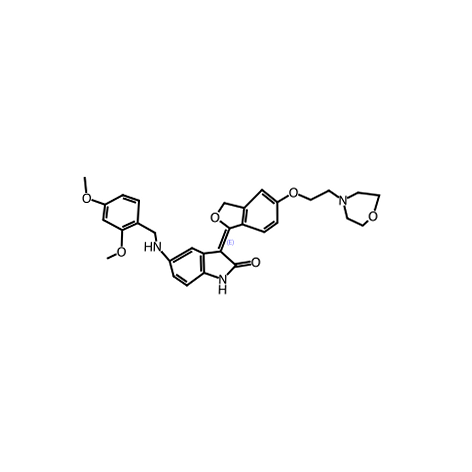 COc1ccc(CNc2ccc3c(c2)/C(=C2\OCc4cc(OCCN5CCOCC5)ccc42)C(=O)N3)c(OC)c1